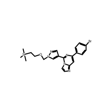 C[Si](C)(C)CCOCn1cc(-c2nc(-c3ccc(Br)cc3)cc3nccn23)cn1